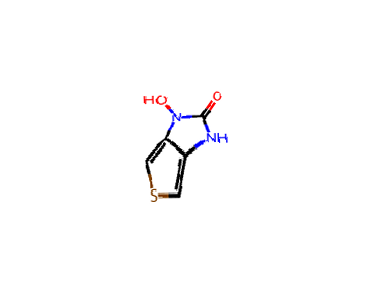 O=c1[nH]c2cscc2n1O